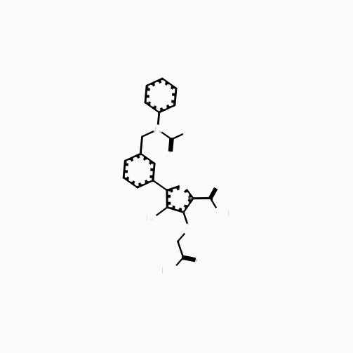 CC(=O)N(Cc1cccc(-c2sc(C(=O)O)c(OCC(=O)O)c2Br)c1)c1ccccc1